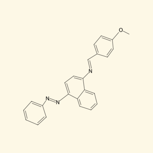 COc1ccc(C=Nc2ccc(N=Nc3ccccc3)c3ccccc23)cc1